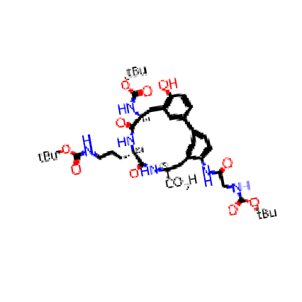 CC(C)(C)OC(=O)NCCC[C@@H]1NC(=O)[C@@H](NC(=O)OC(C)(C)C)Cc2cc(ccc2O)-c2ccc(NC(=O)CNC(=O)OC(C)(C)C)c(c2)C[C@@H](C(=O)O)NC1=O